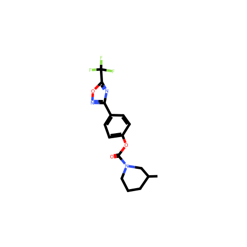 CC1CCCN(C(=O)Oc2ccc(-c3noc(C(F)(F)F)n3)cc2)C1